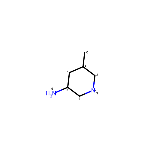 CC1C[N]CC(N)C1